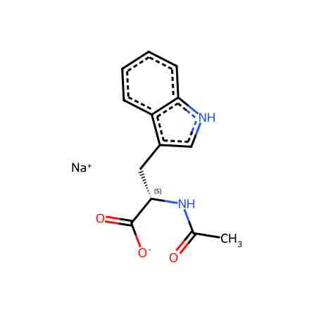 CC(=O)N[C@@H](Cc1c[nH]c2ccccc12)C(=O)[O-].[Na+]